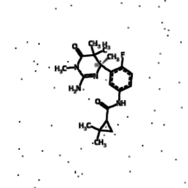 CN1C(=O)C(C)(C)[C@@](C)(c2cc(NC(=O)C3CC3(C)C)ccc2F)N=C1N